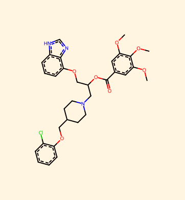 COc1cc(C(=O)OC(COc2cccc3[nH]cnc23)CN2CCC(COc3ccccc3Cl)CC2)cc(OC)c1OC